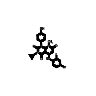 Cn1c(=O)cc(Nc2ccc(Br)cc2F)c2c(=O)n(C3CC3)c(=O)n(-c3ccc(O)cc3)c21